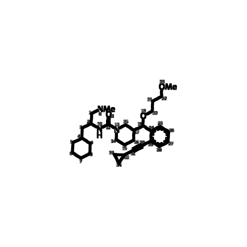 CNCC(CC1CCCCC1)NC(=O)N1CCCC(C(OCCCOC)c2ccccc2C#CC2CC2)C1